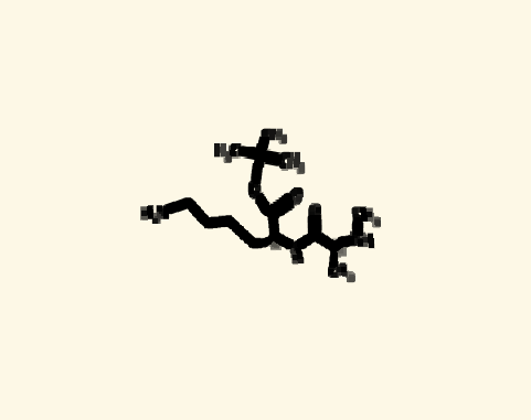 CN[C@@H](C)C(=O)N[C@@H](CCCCN)C(=O)OC(C)(C)C